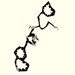 NCCC(Cc1ccccc1)Nc1nnc(-c2ccc3cnccc3c2)s1